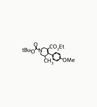 CCOC(=O)C1=C(c2ccc(OC)cc2)C(C)CN(C(=O)OC(C)(C)C)C1